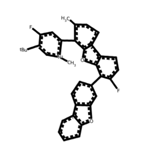 Cc1ccc2c(oc3c(-c4ccc5c(c4)oc4ccccc45)c(F)ccc32)c1-c1cc(F)c(C(C)(C)C)c[n+]1C